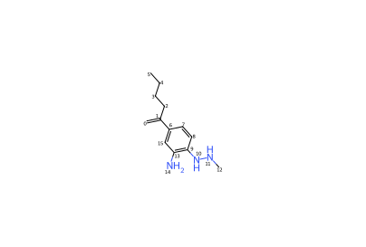 C=C(CCCC)c1ccc(NNC)c(N)c1